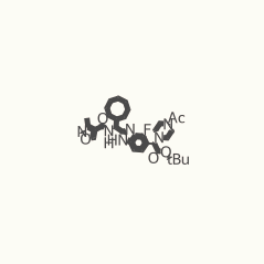 CC(=O)N1CCN([C@@H](C(=O)OC(C)(C)C)c2ccc3[nH]c([C@H](NC(=O)c4conc4C)C4CCCCCCC4)nc3c2F)CC1